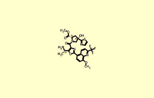 COC(=O)[C@@H]1C[C@@](O)(c2nccs2)CN1C(=O)c1nc(-c2ccc(OC)c3nc(C(F)(F)F)ccc23)oc1[C@H](C)N